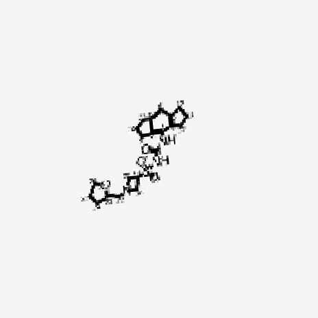 O=C(Nc1c2c(cc3c1CCC3)CCC2)NS(=O)(=O)C1CN(CC2CCCO2)C1